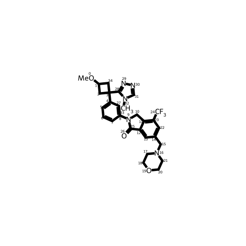 COC1CC(c2cccc(N3Cc4c(cc(CN5CCOCC5)cc4C(F)(F)F)C3=O)c2)(c2nncn2C)C1